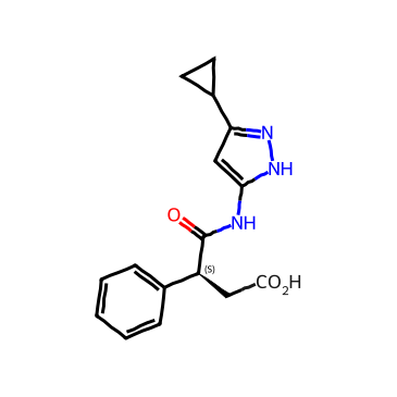 O=C(O)C[C@H](C(=O)Nc1cc(C2CC2)n[nH]1)c1ccccc1